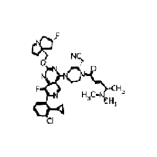 C[C@@H](/C=C/C(=O)N1CCN(c2nc(OC[C@@]34CCCN3C[C@H](F)C4)nc3c(F)c(-c4cccc(Cl)c4C4CC4)ncc23)C[C@@H]1CC#N)N(C)C